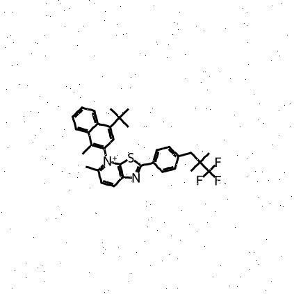 Cc1c(-[n+]2c(C)ccc3nc(-c4ccc(CC(C)(C)C(F)(F)F)cc4)sc32)cc(C(C)(C)C)c2ccccc12